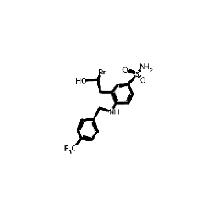 NS(=O)(=O)c1ccc(NCc2ccc(C(F)(F)F)cc2)c(CC(O)Br)c1